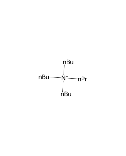 CCCC[N+](CCC)(CCCC)CCCC